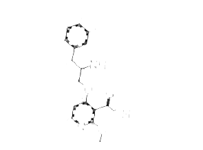 COc1nccc(OCC(N)Cc2ccccc2)c1C(=O)O